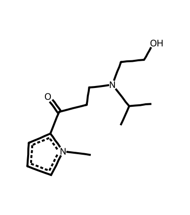 CC(C)N(CCO)CCC(=O)c1cccn1C